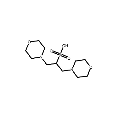 O=S(=O)(O)C(CN1CCOCC1)CN1CCOCC1